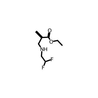 C=C(CNCC(F)F)C(=O)OCC